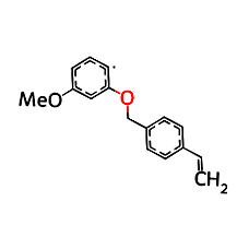 C=Cc1ccc(COc2[c]ccc(OC)c2)cc1